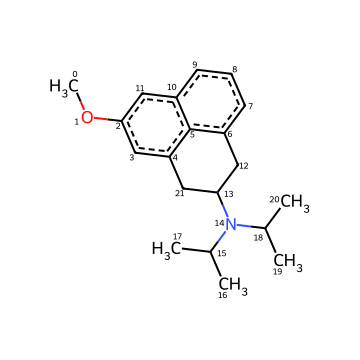 COc1cc2c3c(cccc3c1)CC(N(C(C)C)C(C)C)C2